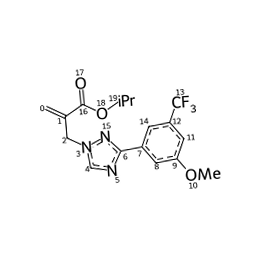 C=C(Cn1cnc(-c2cc(OC)cc(C(F)(F)F)c2)n1)C(=O)OC(C)C